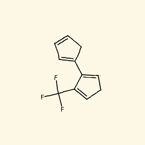 FC(F)(F)C1=CC[C]=C1C1=CC=CC1